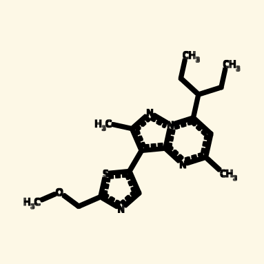 CCC(CC)c1cc(C)nc2c(-c3cnc(COC)s3)c(C)nn12